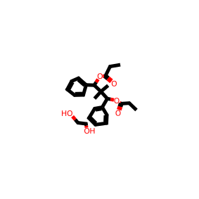 CCC(=O)OC(c1ccccc1)C(C)(C)C(OC(=O)CC)c1ccccc1.OCCO